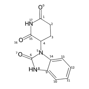 O=C1CCC(n2c(=O)[nH]c3ccccc32)C(=O)N1